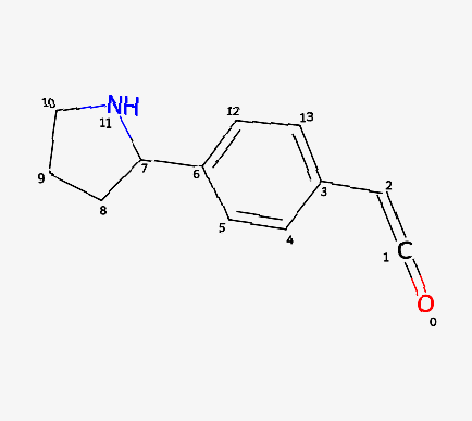 O=C=Cc1ccc(C2CCCN2)cc1